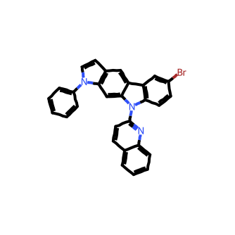 Brc1ccc2c(c1)c1cc3ccn(-c4ccccc4)c3cc1n2-c1ccc2ccccc2n1